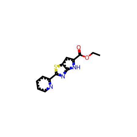 CCOC(=O)c1cc2sc(-c3ccccn3)nc2[nH]1